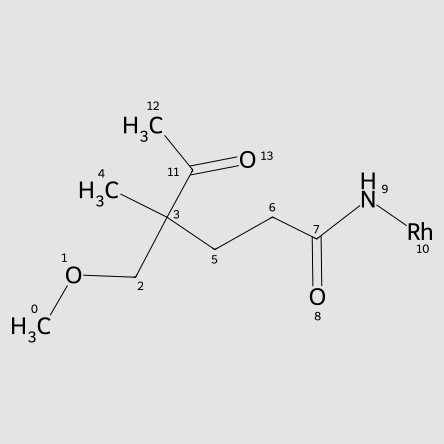 COCC(C)(CCC(=O)[NH][Rh])C(C)=O